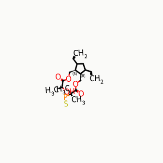 C=CC1CC(C=C)[C@H](COC(=O)C(C)O)[C@@H]1COC(=O)C(C)(C)P=S